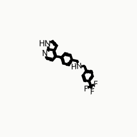 FC(F)(F)c1ccc(CNCc2ccc(-c3ccnc4[nH]ccc34)cc2)cc1